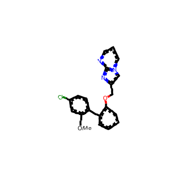 COc1cc(Cl)ccc1-c1ccccc1OCc1cn2cccnc2n1